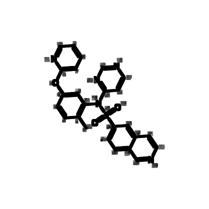 Cc1ccc(Oc2ccccn2)cc1N(c1ccncn1)S(=O)(=O)c1ccc2cnccc2c1